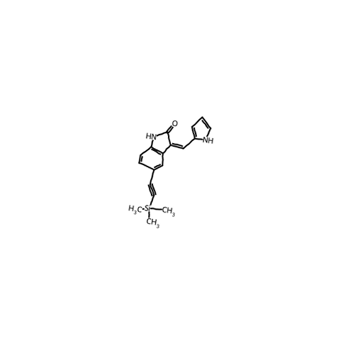 C[Si](C)(C)C#Cc1ccc2c(c1)C(=Cc1ccc[nH]1)C(=O)N2